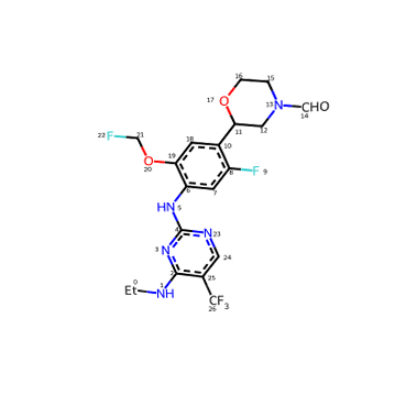 CCNc1nc(Nc2cc(F)c(C3CN(C=O)CCO3)cc2OCF)ncc1C(F)(F)F